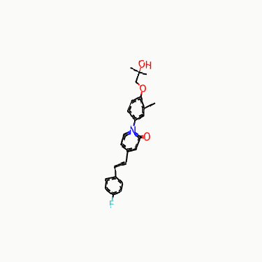 Cc1cc(-n2ccc(C=Cc3ccc(F)cc3)cc2=O)ccc1OCC(C)(C)O